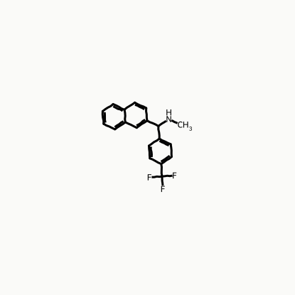 CNC(c1ccc(C(F)(F)F)cc1)c1ccc2ccccc2c1